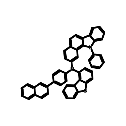 c1ccc(-n2c3ccccc3c3ccc4ccc(N(c5ccc(-c6ccc7ccccc7c6)cc5)c5cccc6sc7ccccc7c56)cc4c32)cc1